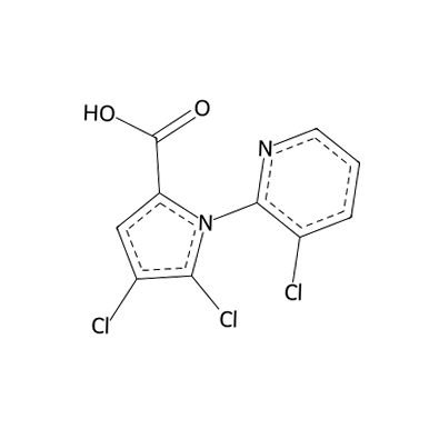 O=C(O)c1cc(Cl)c(Cl)n1-c1ncccc1Cl